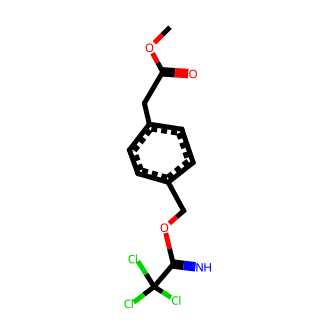 COC(=O)Cc1ccc(COC(=N)C(Cl)(Cl)Cl)cc1